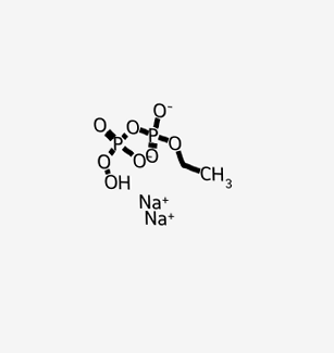 CCOP(=O)([O-])OP(=O)([O-])OO.[Na+].[Na+]